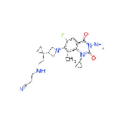 Cc1c(N2CC(C3(CCNCCC#N)CC3)C2)c(F)cc2c(=O)n(N)c(=O)n(C3CC3)c12